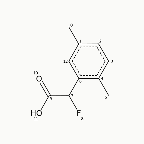 Cc1ccc(C)c(C(F)C(=O)O)c1